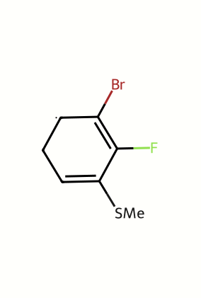 CSC1=CC[CH]C(Br)=C1F